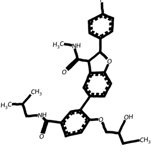 CCC(O)COc1ccc(C(=O)NCC(C)C)cc1-c1ccc2c(c1)C(C(=O)NC)C(c1ccc(F)cc1)O2